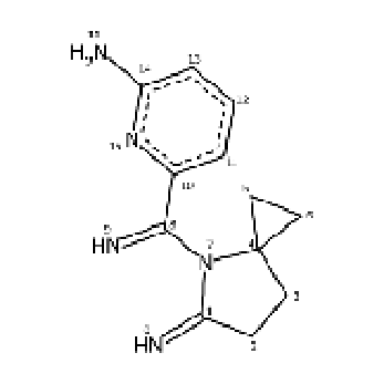 N=C1CCC2(CC2)N1C(=N)c1cccc(N)n1